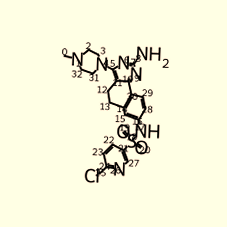 CN1CCN(c2nc(N)nc3c2CCc2cc(NS(=O)(=O)c4ccc(Cl)nc4)ccc2-3)CC1